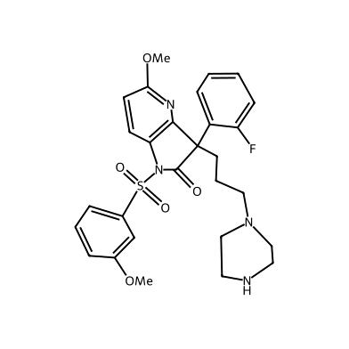 COc1cccc(S(=O)(=O)N2C(=O)C(CCCN3CCNCC3)(c3ccccc3F)c3nc(OC)ccc32)c1